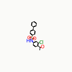 CC(=O)c1ccc(NS(=O)(=O)c2ccc(-c3ccccc3)cc2)cc1Cl